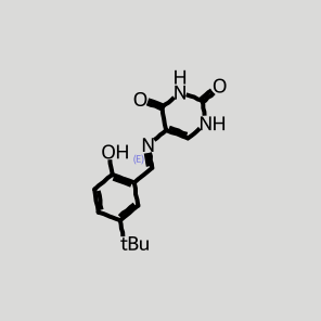 CC(C)(C)c1ccc(O)c(/C=N/c2c[nH]c(=O)[nH]c2=O)c1